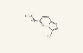 O=C(O)Nc1ccc2ncc(Br)n2n1